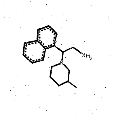 CC1CCCN(C(CN)c2cccc3ccccc23)C1